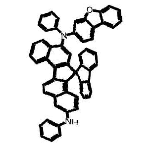 c1ccc(Nc2ccc3c4c(ccc3c2)-c2c(cc(N(c3ccccc3)c3ccc5c(c3)oc3ccccc35)c3ccccc23)C42c3ccccc3-c3ccccc32)cc1